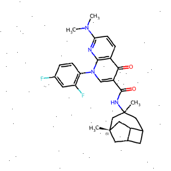 CN(C)c1ccc2c(=O)c(C(=O)NC3(C)CC4CC5C[C@@](C)(CC45)C3)cn(-c3ccc(F)cc3F)c2n1